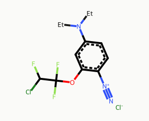 CCN(CC)c1ccc([N+]#N)c(OC(F)(F)C(F)Cl)c1.[Cl-]